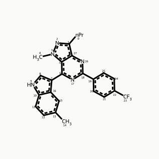 CCCc1nn(C)c2c(-c3c[nH]c4ccc(C)cc34)nc(-c3ccc(C(F)(F)F)cc3)nc12